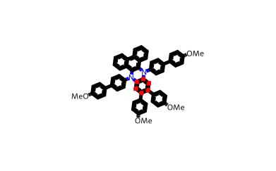 COc1ccc(-c2ccc(N(c3ccc(-c4ccc(OC)cc4)cc3)c3c(N(c4ccc(-c5ccc(OC)cc5)cc4)c4ccc(-c5ccc(OC)cc5)cc4)c4ccccc4c4ccccc34)cc2)cc1